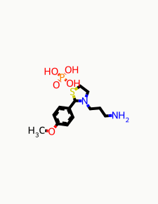 COc1ccc(C2SCCN2CCCN)cc1.O=P(O)(O)O